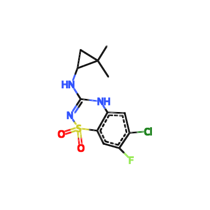 CC1(C)CC1NC1=NS(=O)(=O)c2cc(F)c(Cl)cc2N1